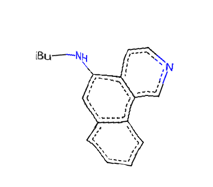 CCC(C)Nc1cc2ccccc2c2cnccc12